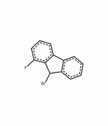 Fc1cccc2c1C(Br)c1ccccc1-2